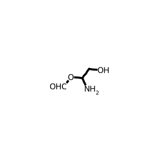 NC(CO)OC=O